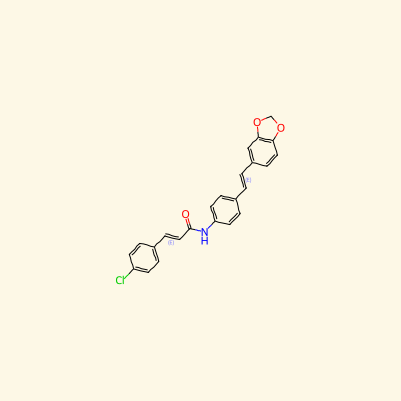 O=C(/C=C/c1ccc(Cl)cc1)Nc1ccc(/C=C/c2ccc3c(c2)OCO3)cc1